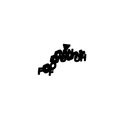 CC(C)(C)N(O)Cc1cccc(C(C2CC2)N2CCc3ccc(Oc4ccc(F)cc4F)cc3C2=O)n1